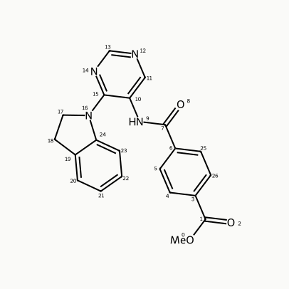 COC(=O)c1ccc(C(=O)Nc2cncnc2N2CCc3ccccc32)cc1